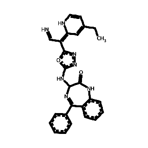 CCC1=C/C(=C(/C=N)c2nnc(NC3N=C(c4ccccc4)c4ccccc4NC3=O)o2)NC=C1